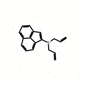 C=CC[S+](CC=C)C1=Cc2cccc3cccc1c23